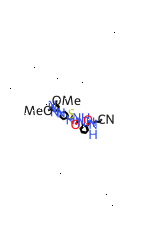 COc1cc(N2CCc3nc(NC(=O)Nc4ccccc4C(=O)NCCC#N)sc3C2)nc(OC)n1